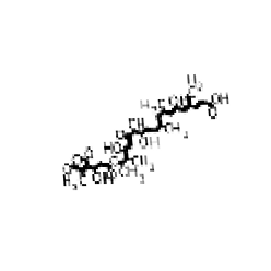 CCC(/C=C/C(=O)O)=C\[C@H](O)C[C@H](C)C[C@@H](C)CC[C@H](O)[C@H](C)C(=O)C[C@@H](O)[C@H](C)[C@@H](C)OC(=O)C[C@@H](O)C1=C(C)C(=O)OC1=O